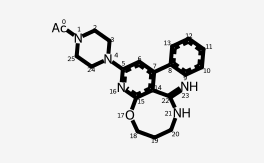 CC(=O)N1CCN(c2cc(-c3ccccc3)c3c(n2)OCCCNC3=N)CC1